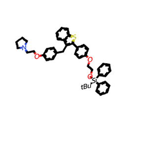 CC(C)(C)[Si](OCCOc1ccc(-c2sc3ccccc3c2Cc2ccc(OCCN3CCCC3)cc2)cc1)(c1ccccc1)c1ccccc1